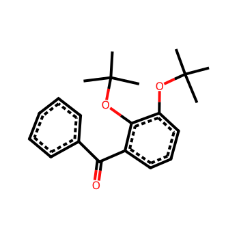 CC(C)(C)Oc1cccc(C(=O)c2ccccc2)c1OC(C)(C)C